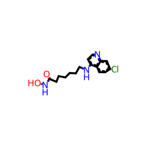 O=C(CCCCCCNc1ccnc2cc(Cl)ccc12)NO